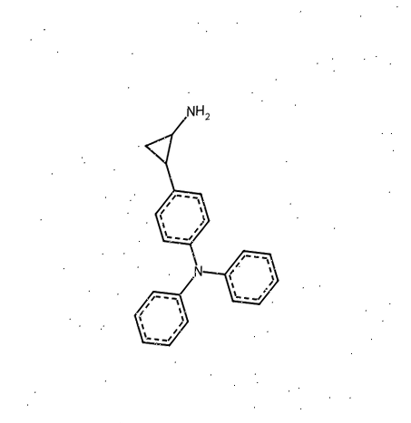 NC1CC1c1ccc(N(c2ccccc2)c2ccccc2)cc1